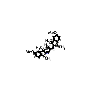 COc1ccc2c(c1)C(C)(C)/C(=C\C(=O)/C=C1/N(C)c3ccc(OC)cc3C1(C)C)N2C